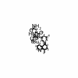 Cc1ccc(N2C[C@@H](C)C[C@@H](NC(=O)[C@H](CC(N)=O)NC(=O)OC(C)(C)C)C2)c2cccnc12